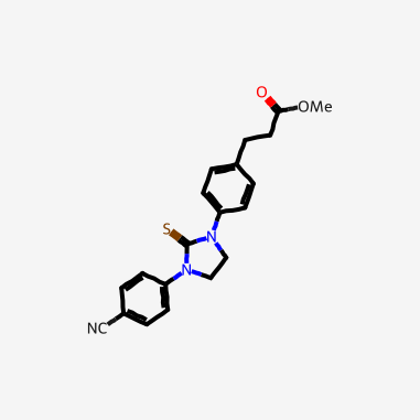 COC(=O)CCc1ccc(N2CCN(c3ccc(C#N)cc3)C2=S)cc1